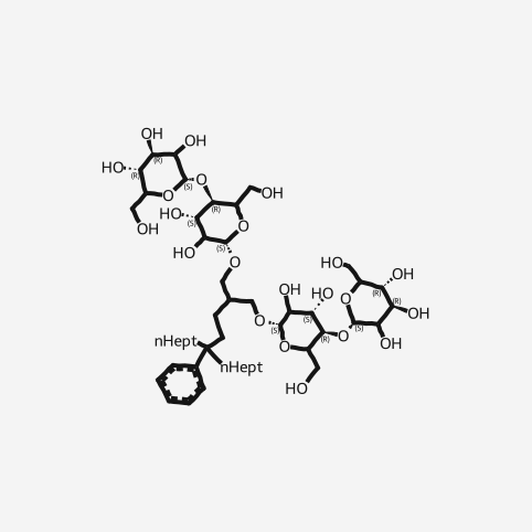 CCCCCCCC(CCCCCCC)(CCC(CO[C@H]1OC(CO)[C@H](O[C@@H]2OC(CO)[C@H](O)[C@@H](O)C2O)[C@@H](O)C1O)CO[C@H]1OC(CO)[C@H](O[C@@H]2OC(CO)[C@H](O)[C@@H](O)C2O)[C@@H](O)C1O)c1ccccc1